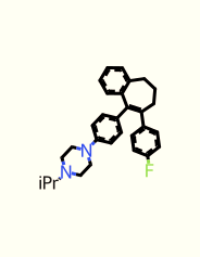 CC(C)N1CCN(c2ccc(C3=C(c4ccc(F)cc4)CCCc4ccccc43)cc2)CC1